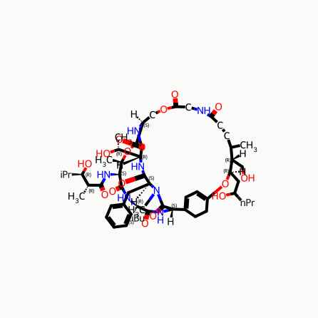 CCCC(O)C[C@H]1OC2=CC=C(CC2)[C@@H]2NC(=O)[C@@H]([C@@H](C)CC)NC(=O)[C@@H](NC(=O)[C@H](C)[C@H](O)C(C)C)[C@@H](C)OC(=O)[C@H](COC(=O)CNC(=O)CCC(C)[C@@H]1CO)NC(=O)[C@@H]([C@@H](C)O)NC(=O)[C@H](Cc1ccccc1)N(C)C2=O